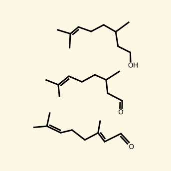 CC(C)=CCC/C(C)=C/C=O.CC(C)=CCCC(C)CC=O.CC(C)=CCCC(C)CCO